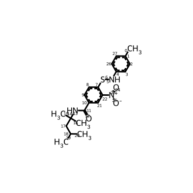 Cc1ccc(NSc2ccc(C(=O)NC(C)(C)CC(C)C)cc2[N+](=O)[O-])cc1